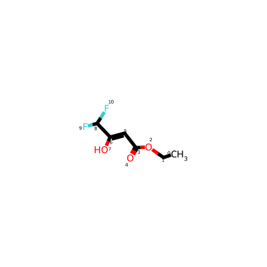 CCOC(=O)C=C(O)C(F)F